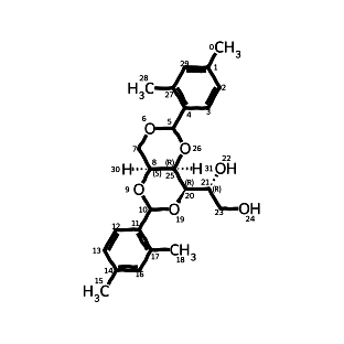 Cc1ccc(C2OC[C@@H]3OC(c4ccc(C)cc4C)O[C@H]([C@H](O)CO)[C@@H]3O2)c(C)c1